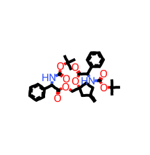 C=C1CCC(COC(=O)C(NC(=O)OC(C)(C)C)c2ccccc2)(OC(=O)C(NC(=O)OC(C)(C)C)c2ccccc2)C1